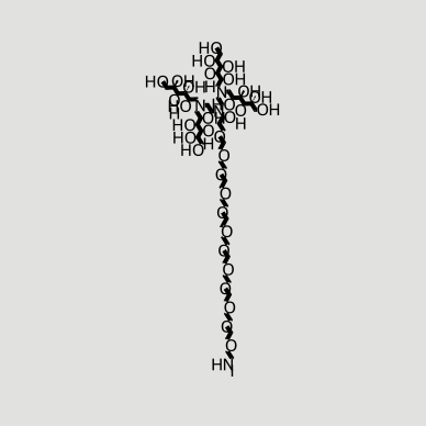 O=C(CCOCCOCCOCCOCCOCCOCCOCCOCCOCCOCCOCCOCCNI)N(CCN(C[C@H](O)[C@@H](O)[C@H](O)[C@H](O)CO)C[C@H](O)[C@@H](O)[C@H](O)[C@H](O)CO)CCN(C[C@H](O)[C@@H](O)[C@H](O)[C@H](O)CO)C[C@H](O)[C@@H](O)[C@H](O)[C@H](O)CO